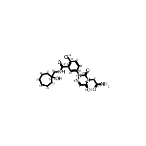 NC(=O)Cn1c(=O)cnn(-c2ccc(Cl)c(C(=O)NCC3(O)CCCCCC3)c2)c1=O